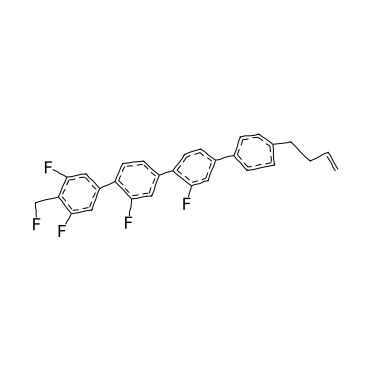 C=CCCc1ccc(-c2ccc(-c3ccc(-c4cc(F)c(CF)c(F)c4)c(F)c3)c(F)c2)cc1